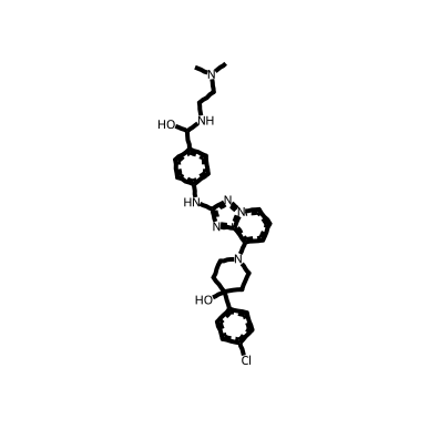 CN(C)CCNC(O)c1ccc(Nc2nc3c(N4CCC(O)(c5ccc(Cl)cc5)CC4)cccn3n2)cc1